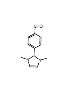 CN1C=CN(C)C1c1ccc(C=O)cc1